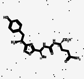 CC[C@H](C)C(NC(=O)N[C@@H](CCC(N)=O)C(=O)O)c1nc([C@@H](N)Cc2ccc(O)cc2)no1